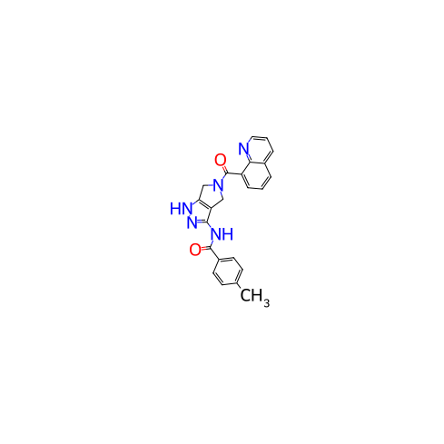 Cc1ccc(C(=O)Nc2n[nH]c3c2CN(C(=O)c2cccc4cccnc24)C3)cc1